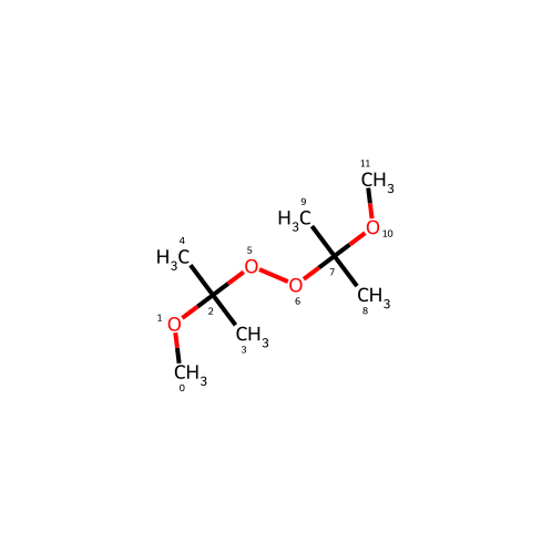 COC(C)(C)OOC(C)(C)OC